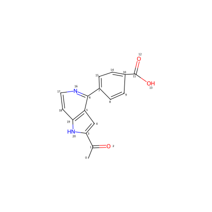 CC(=O)c1cc2c(-c3ccc(C(=O)O)cc3)nccc2[nH]1